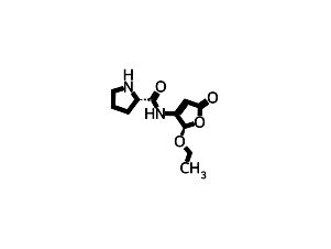 CCO[C@@H]1OC(=O)C=C1NC(=O)[C@@H]1CCCN1